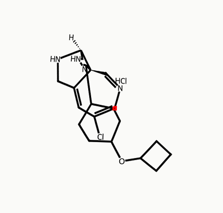 Cl.ClC1=CN=C[C@]23C(=C1)CN[C@@H]2CNN=C3C1CCC(OC2CCC2)CC1